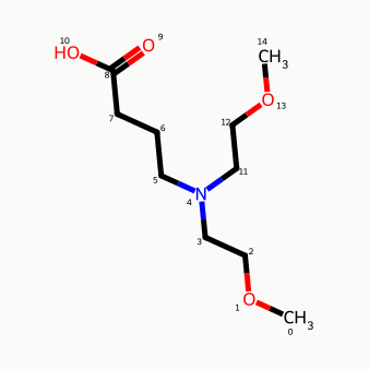 COCCN(CCCC(=O)O)CCOC